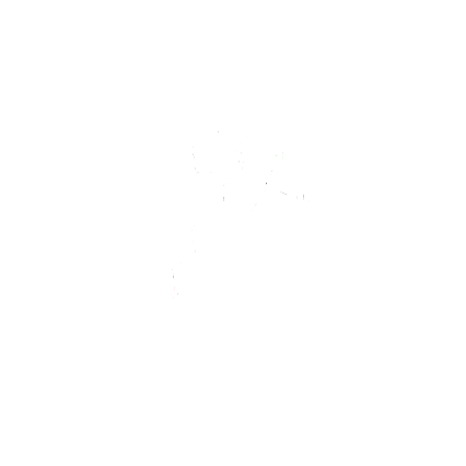 [O]CCCCc1ccccc1C(Cl)(Cl)C(Cl)(Cl)Cl